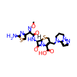 CO/N=C(\C(=O)N[C@@H]1C(=O)N2C(C(=O)O)=C(CN3CCCn4nccc43)CS[C@H]12)c1csc(N)n1